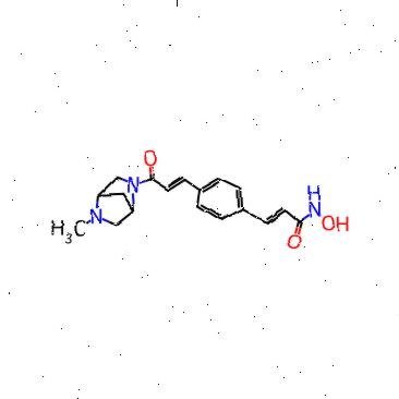 CN1CC2CC1CN2C(=O)/C=C/c1ccc(/C=C/C(=O)NO)cc1